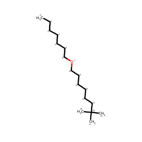 CCCCCCCOCCCCCCC(C)(C)C